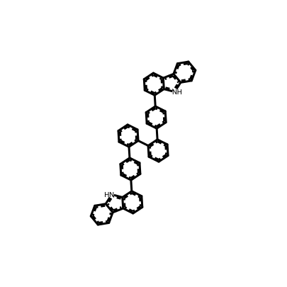 c1ccc(-c2ccccc2-c2ccc(-c3cccc4c3[nH]c3ccccc34)cc2)c(-c2ccc(-c3cccc4c3[nH]c3ccccc34)cc2)c1